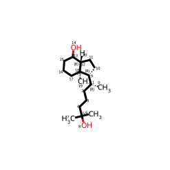 C[C@H](CCCC(C)(C)O)[C@H]1CC[C@H]2C(O)CCC[C@]12C